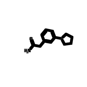 NC(=O)Cc1cccc(N2CCCC2)c1